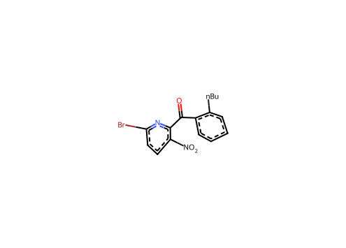 CCCCc1ccccc1C(=O)c1nc(Br)ccc1[N+](=O)[O-]